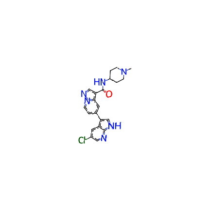 CN1CCC(NC(=O)c2cnn3ccc(-c4c[nH]c5ncc(Cl)cc45)cc23)CC1